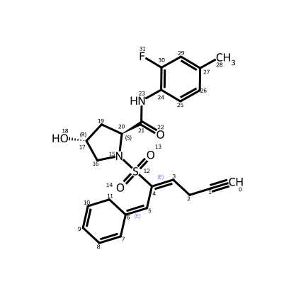 C#CC/C=C(\C=C1\C=CC=CC1)S(=O)(=O)N1C[C@H](O)C[C@H]1C(=O)Nc1ccc(C)cc1F